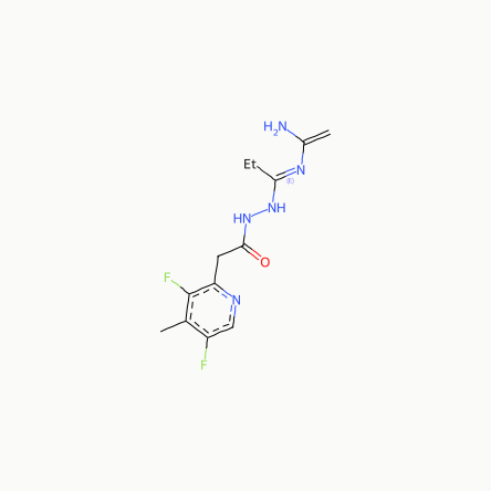 C=C(N)/N=C(\CC)NNC(=O)Cc1ncc(F)c(C)c1F